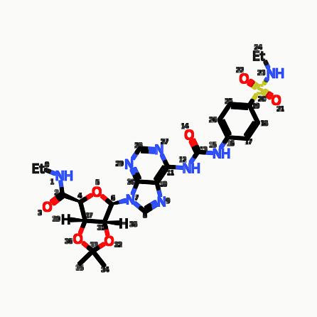 CCNC(=O)[C@H]1O[C@@H](n2cnc3c(NC(=O)Nc4ccc(S(=O)(=O)NCC)cc4)ncnc32)[C@@H]2OC(C)(C)O[C@@H]21